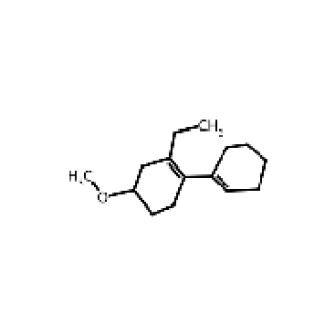 CCC1=C(C2=CCCCC2)CCC(OC)C1